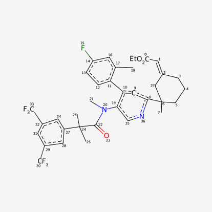 CCOC(=O)/C=C1/CCCC(C)(c2cc(-c3ccc(F)cc3C)c(N(C)C(=O)C(C)(C)c3cc(C(F)(F)F)cc(C(F)(F)F)c3)cn2)C1